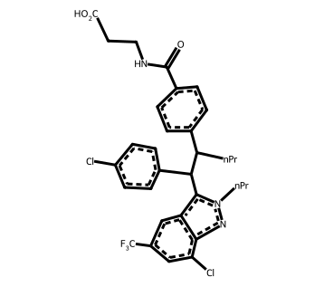 CCCC(c1ccc(C(=O)NCCC(=O)O)cc1)C(c1ccc(Cl)cc1)c1c2cc(C(F)(F)F)cc(Cl)c2nn1CCC